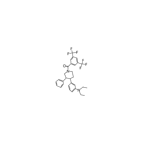 CCN(CC)c1cccc(C2CCN(C(=O)c3cc(C(F)(F)F)cc(C(F)(F)F)c3)CC2c2ccccc2)c1